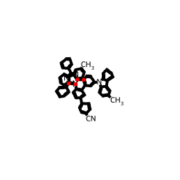 Cc1ccc2c(c1)c1ccccc1n2-c1ccc(-c2nc(-c3ccccc3)nc(-c3ccccc3)n2)c(-c2cc(-c3ccc(C#N)cc3)ccc2-n2c3ccccc3c3cc(C)ccc32)c1